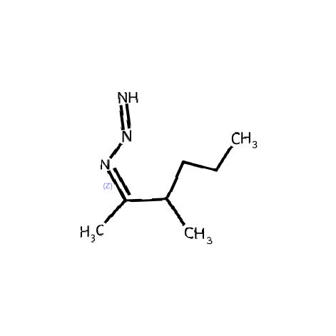 CCCC(C)/C(C)=N\N=N